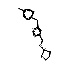 Fc1ccc(Cc2cc(CO[C@H]3CCCN3)no2)cc1